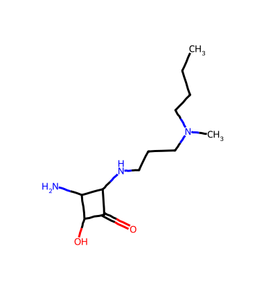 CCCCN(C)CCCNC1C(=O)C(O)C1N